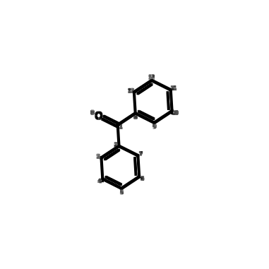 O=C(c1c[c]ccc1)c1c[c]ccc1